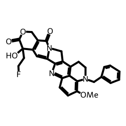 COc1ccc2nc3c(c4c2c1N(Cc1ccccc1)CC4)Cn1c-3cc2c(c1=O)COC(=O)C2(O)CCF